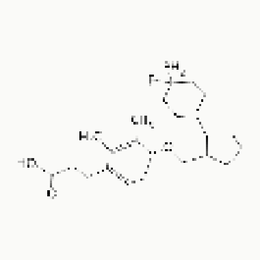 CC1=C(C)C(OCC2=C(C3CCC(F)(P)CC3)CCC2)CC=C1CCC(=O)O